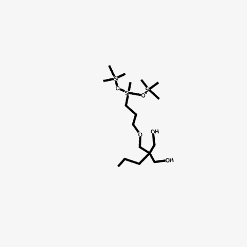 CCCC(CO)(CO)COCCC[Si](C)(O[Si](C)(C)C)O[Si](C)(C)C